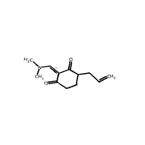 C=CCC1CCC(=O)/C(=C\N(C)C)C1=O